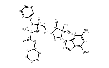 COc1nc(N)nc2c1ncn2[C@@H]1O[C@H](COP(=O)(N[C@@H](C)C(=O)OC2CCCCC2)Oc2ccccc2)[C@@H](O)[C@@]1(C)C#N